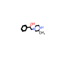 C[C@@H]1CN(C[C@H](O)c2ccccc2)CCN1